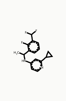 CC(Nc1ccnc(C2CC2)c1)c1cccc(C(F)F)c1F